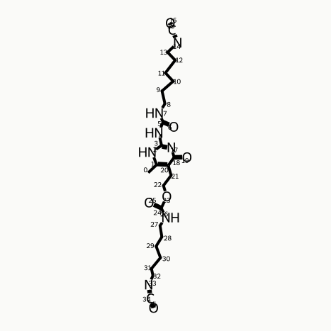 Cc1[nH]c(NC(=O)NCCCCCCN=C=O)nc(=O)c1CCOC(=O)NCCCCCCN=C=O